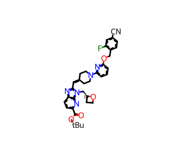 CC(C)(C)OC(=O)c1ccc2nc(C=C3CCN(c4cccc(OCc5ccc(C#N)cc5F)n4)CC3)n(C[C@@H]3CCO3)c2n1